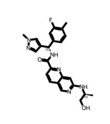 Cc1ccc([C@H](NC(=O)c2ccc3cnc(N[C@@H](C)CO)cc3n2)c2cnn(C)c2)cc1F